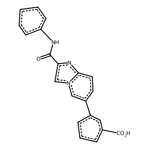 O=C(O)c1cccc(-c2ccc3nc(C(=O)Nc4ccccc4)cn3c2)c1